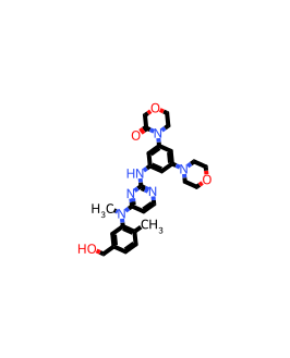 Cc1ccc(CO)cc1N(C)c1ccnc(Nc2cc(N3CCOCC3)cc(N3CCOCC3=O)c2)n1